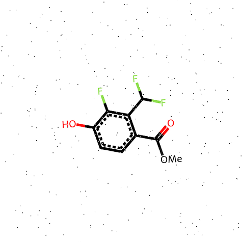 COC(=O)c1ccc(O)c(F)c1C(F)F